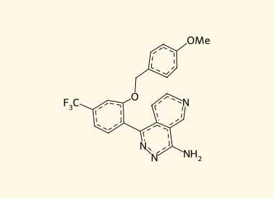 COc1ccc(COc2cc(C(F)(F)F)ccc2-c2nnc(N)c3cnccc23)cc1